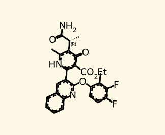 CCOC(=O)c1c(-c2cc3ccccc3nc2Oc2ccc(F)c(F)c2C)[nH]c(C)c([C@@H](C)C(N)=O)c1=O